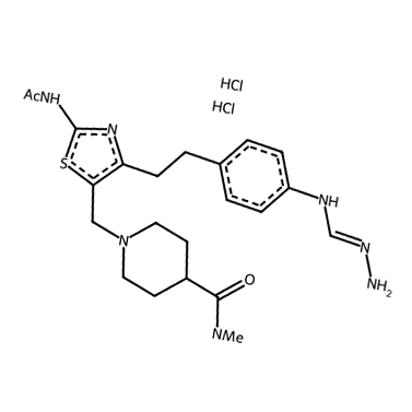 CNC(=O)C1CCN(Cc2sc(NC(C)=O)nc2CCc2ccc(NC=NN)cc2)CC1.Cl.Cl